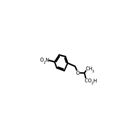 CC(OCc1ccc([N+](=O)[O-])cc1)C(=O)O